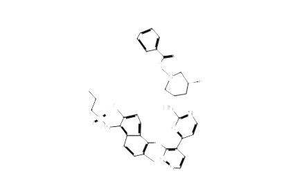 CCCS(=O)(=O)Nc1c(F)ccc2c(Oc3nnccc3-c3ccnc(N[C@H]4C[C@H](F)CN(OC(=O)c5ccccc5)C4)n3)c(C)ccc12